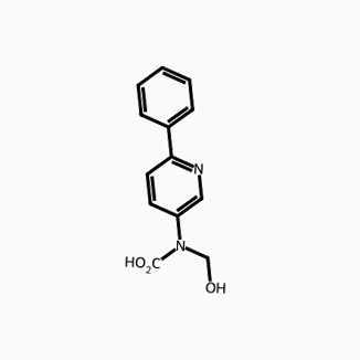 O=C(O)N(CO)c1ccc(-c2ccccc2)nc1